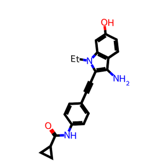 CCn1c(C#Cc2ccc(NC(=O)C3CC3)cc2)c(N)c2ccc(O)cc21